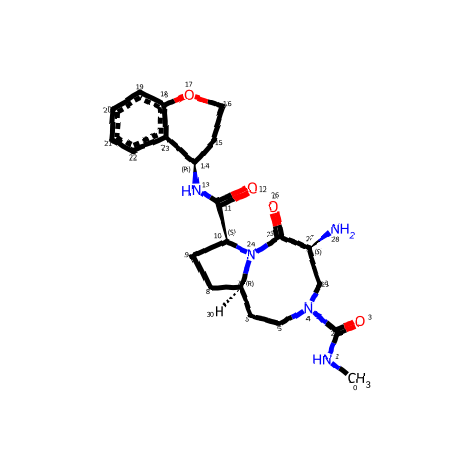 CNC(=O)N1CC[C@H]2CC[C@@H](C(=O)N[C@@H]3CCOc4ccccc43)N2C(=O)[C@@H](N)C1